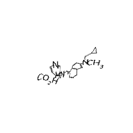 CN(CC1CC1)c1ccc2c(c1)CCC[C@H]2CNc1cnccc1C(=O)O